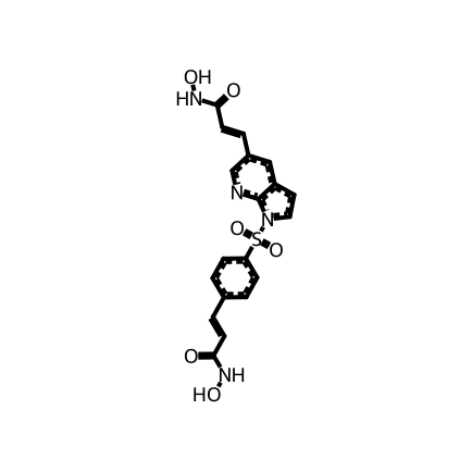 O=C(/C=C/c1ccc(S(=O)(=O)n2ccc3cc(/C=C/C(=O)NO)cnc32)cc1)NO